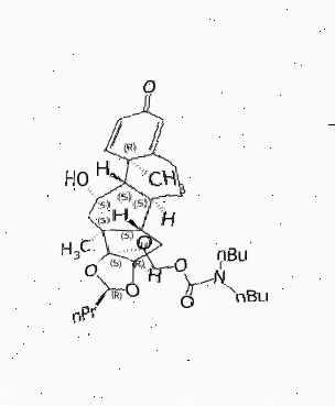 CCCCN(CCCC)C(=O)OCC(=O)[C@@]12O[C@H](CCC)O[C@@H]1C[C@H]1[C@@H]3CCC4=CC(=O)C=C[C@]4(C)[C@H]3[C@@H](O)C[C@@]12C